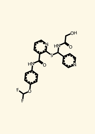 O=C(CO)NC(Sc1ncccc1C(=O)Nc1ccc(OC(F)F)cc1)c1ccncc1